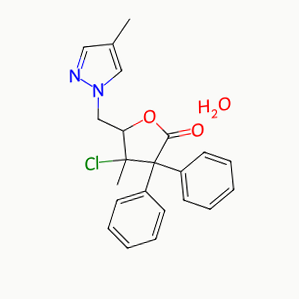 Cc1cnn(CC2OC(=O)C(c3ccccc3)(c3ccccc3)C2(C)Cl)c1.O